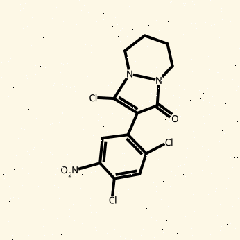 O=c1c(-c2cc([N+](=O)[O-])c(Cl)cc2Cl)c(Cl)n2n1CCCC2